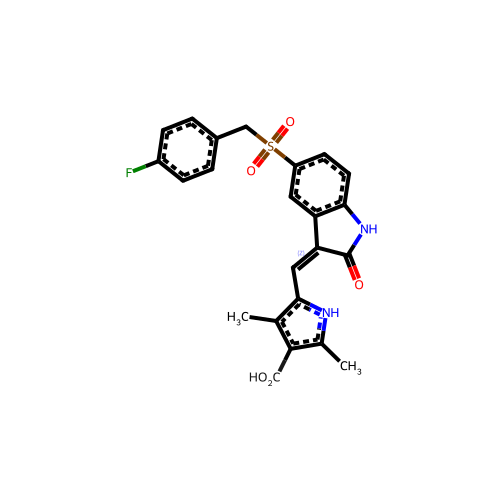 Cc1[nH]c(/C=C2\C(=O)Nc3ccc(S(=O)(=O)Cc4ccc(F)cc4)cc32)c(C)c1C(=O)O